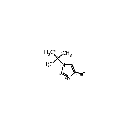 CC(C)(C)n1cnc(Cl)c1